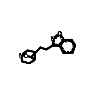 c1ccc2c(CCC3CN4CCC3CC4)noc2c1